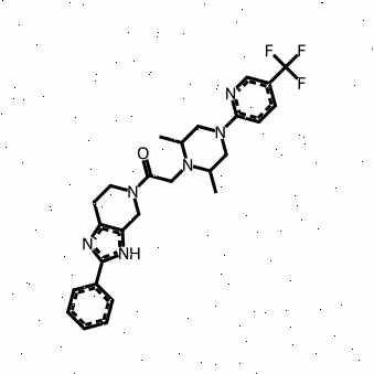 CC1CN(c2ccc(C(F)(F)F)cn2)CC(C)N1CC(=O)N1CCc2nc(-c3ccccc3)[nH]c2C1